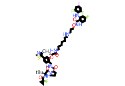 Cc1ncsc1-c1ccc(CNC(=O)[C@@H]2CCCN2C(=O)[C@@H](NC(=O)C2(F)CC2)C(C)(C)C)c(OCC(=O)NCCCCCCCNCCCONC(=O)c2ccc(F)c(F)c2Nc2ccc(I)cc2F)c1